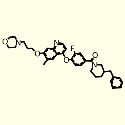 Cc1cc2c(Oc3ccc(C(=O)N4CCCC(Cc5ccccc5)C4)cc3F)ccnc2cc1OCCCN1CCOCC1